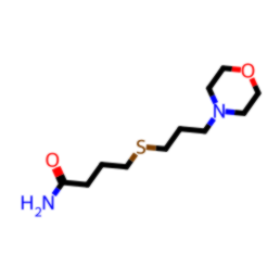 NC(=O)CCCSCCCN1CCOCC1